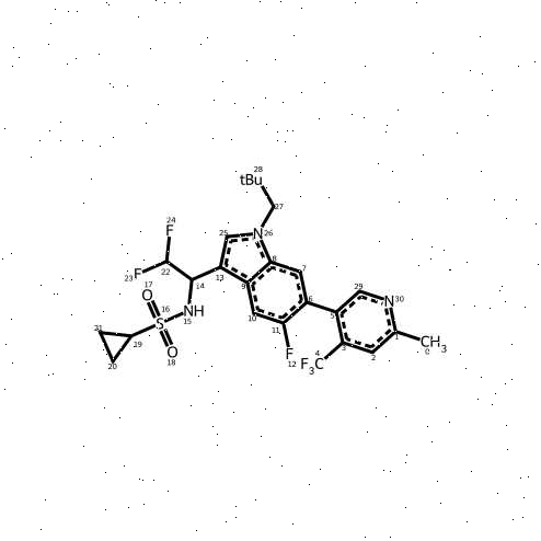 Cc1cc(C(F)(F)F)c(-c2cc3c(cc2F)c(C(NS(=O)(=O)C2CC2)C(F)F)cn3CC(C)(C)C)cn1